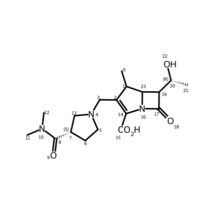 CC1C(CN2CC[C@H](C(=O)N(C)C)C2)=C(C(=O)O)N2C(=O)C([C@@H](C)O)C12